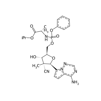 CC(C)OC(=O)[C@H](C)NP(=O)(OC[C@H]1O[C@@H](c2ccc3c(N)ncnn23)[C@](C)(C#N)[C@@H]1O)Oc1ccccc1